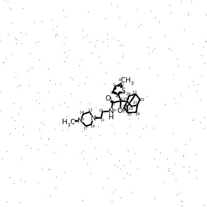 Cc1ccc(C(O)(C(=O)NCCN2CCN(C)CC2)C23CC4CC(CC(C4)C2)C3)s1